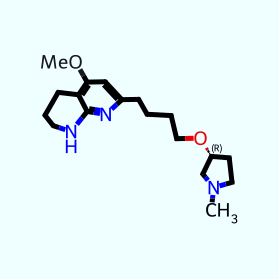 COc1cc(CCCCO[C@@H]2CCN(C)C2)nc2c1CCCN2